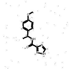 COc1ccc(C(C)NC(=O)c2nc[nH]n2)cc1